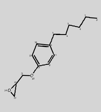 CCCCCCc1ccc(OCC2CO2)cc1